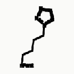 CCCCCCCCCn1ccnn1